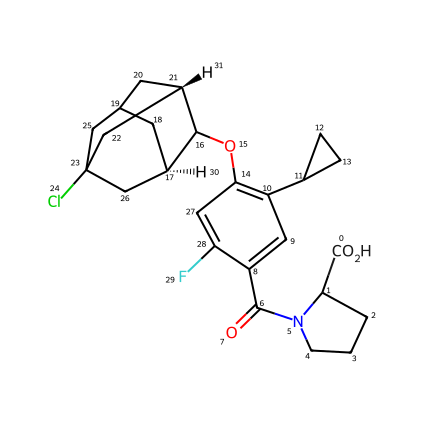 O=C(O)C1CCCN1C(=O)c1cc(C2CC2)c(OC2[C@@H]3CC4C[C@H]2CC(Cl)(C4)C3)cc1F